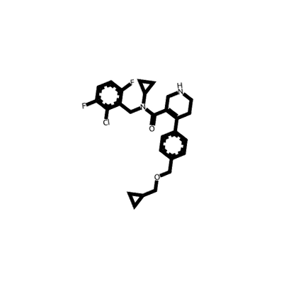 O=C(C1=C(c2ccc(COCC3CC3)cc2)CCNC1)N(Cc1c(F)ccc(F)c1Cl)C1CC1